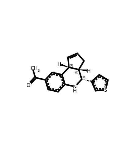 CC(=O)c1ccc2c(c1)[C@@H]1C=CC[C@@H]1[C@H](c1ccsc1)N2